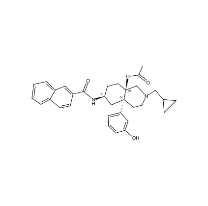 CC(=O)O[C@]12CC[C@H](NC(=O)c3ccc4ccccc4c3)C[C@]1(c1cccc(O)c1)CCN(CC1CC1)C2